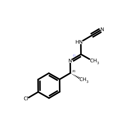 C/C(=N\[C@H](C)c1ccc(Cl)cc1)NC#N